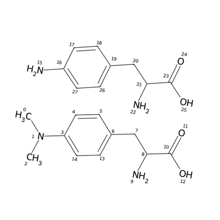 CN(C)c1ccc(CC(N)C(=O)O)cc1.Nc1ccc(CC(N)C(=O)O)cc1